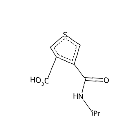 CC(C)NC(=O)c1cscc1C(=O)O